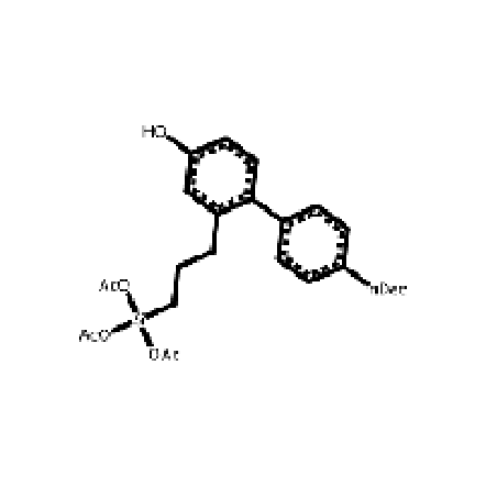 CCCCCCCCCCc1ccc(-c2ccc(O)cc2CCC[Si](OC(C)=O)(OC(C)=O)OC(C)=O)cc1